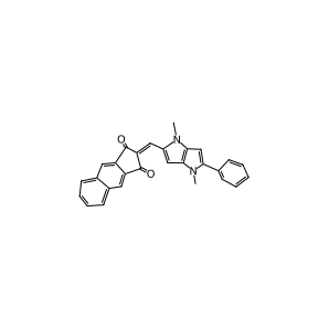 Cn1c(C=C2C(=O)c3cc4ccccc4cc3C2=O)cc2c1cc(-c1ccccc1)n2C